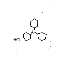 C1CC[CH]([Al]([CH]2CCCCC2)[CH]2CCCCC2)CC1.Cl